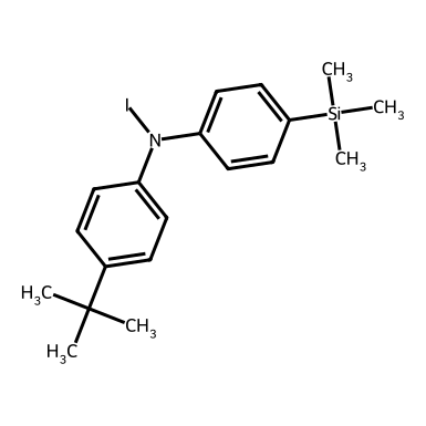 CC(C)(C)c1ccc(N(I)c2ccc([Si](C)(C)C)cc2)cc1